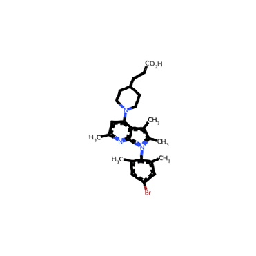 Cc1cc(N2CCC(CCC(=O)O)CC2)c2c(C)c(C)n(-c3c(C)cc(Br)cc3C)c2n1